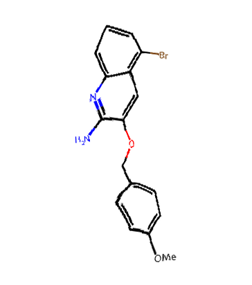 COc1ccc(COc2cc3c(Br)cccc3nc2N)cc1